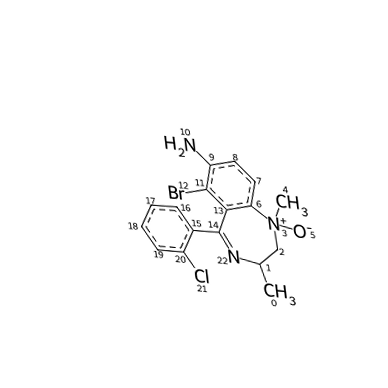 CC1C[N+](C)([O-])c2ccc(N)c(Br)c2C(c2ccccc2Cl)=N1